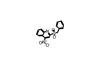 O=[N+]([O-])c1cc(S(=O)(=O)Cc2ccccc2)nc2ccccc12